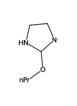 CCCOC1[N]CCN1